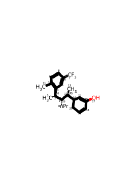 CCC[C@H]([C@H](C)c1cc(C(F)(F)F)ccc1C)[C@@H](C)C1C=C(O)C=CC1